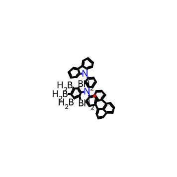 Bc1c(B)c(B)c(N(c2ccc(-c3cccc4cccc(-c5ccccc5)c34)cc2)c2cccc(-n3c4ccccc4c4ccccc43)c2)c(B)c1B